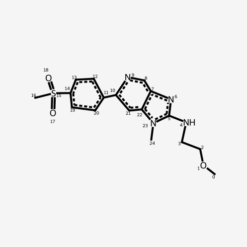 COCCNc1nc2cnc(-c3ccc(S(C)(=O)=O)cc3)cc2n1C